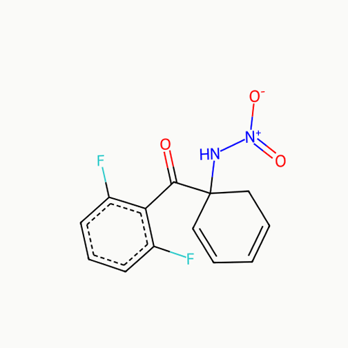 O=C(c1c(F)cccc1F)C1(N[N+](=O)[O-])C=CC=CC1